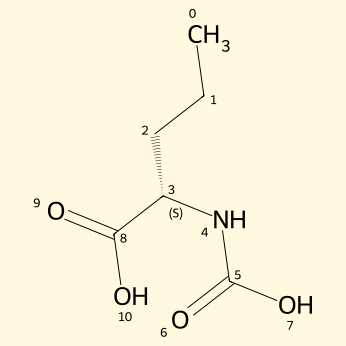 CCC[C@H](NC(=O)O)C(=O)O